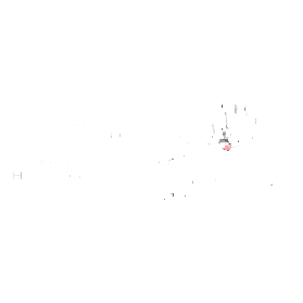 COC(=O)c1cccc(OCCO[C@H]2O[C@@H]3O[C@@]4(C)CCC5[C@H](C)CC[C@@H]([C@H]2C)[C@]53OO4)c1